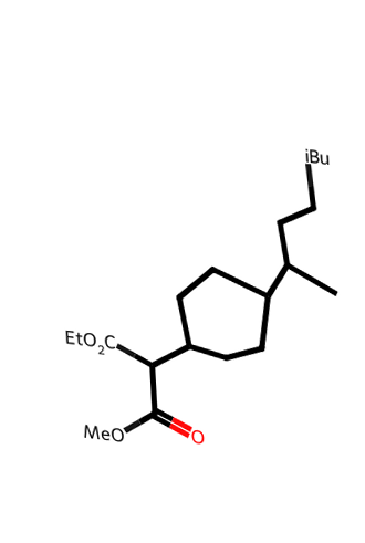 CCOC(=O)C(C(=O)OC)C1CCC(C(C)CCC(C)CC)CC1